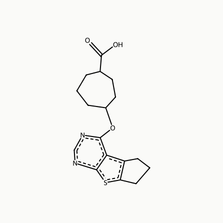 O=C(O)C1CCCC(Oc2ncnc3sc4c(c23)CCC4)CC1